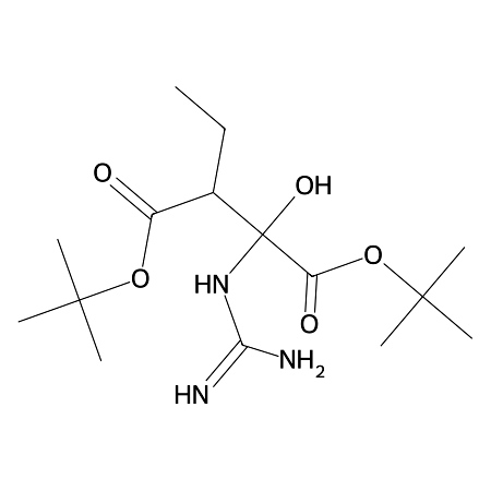 CCC(C(=O)OC(C)(C)C)C(O)(NC(=N)N)C(=O)OC(C)(C)C